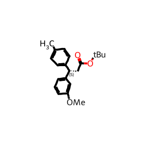 COc1cccc([C@@H](CC(=O)OC(C)(C)C)c2ccc(C)cc2)c1